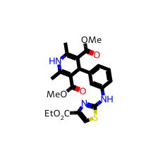 CCOC(=O)c1csc(Nc2cccc(C3C(C(=O)OC)=C(C)NC(C)=C3C(=O)OC)c2)n1